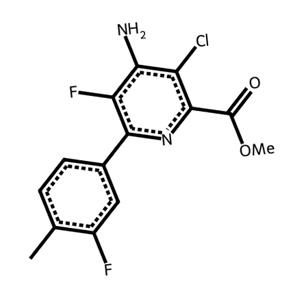 COC(=O)c1nc(-c2ccc(C)c(F)c2)c(F)c(N)c1Cl